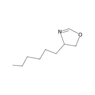 CCCCCCC1COC=N1